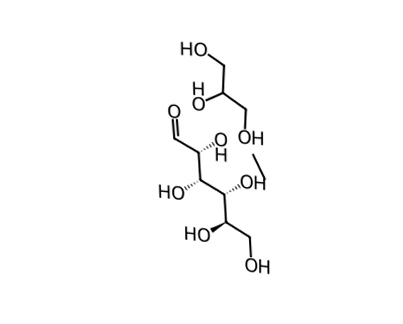 CC.O=C[C@H](O)[C@@H](O)[C@H](O)[C@H](O)CO.OCC(O)CO